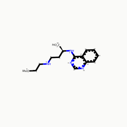 COCCNCC[C@H](Nc1ncnc2ccccc12)C(=O)O